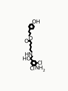 Nc1c(Cl)cc(C(O)CNCCCCCC(=O)OCCCc2ccc(O)cc2)cc1Cl